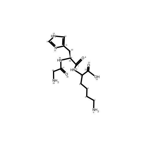 NCCCCC(NC(=O)[C@H](Cc1c[nH]cn1)NC(=O)CN)C(=O)O